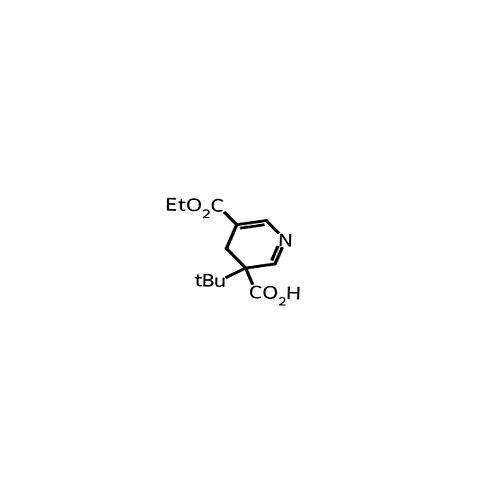 CCOC(=O)C1=CN=CC(C(=O)O)(C(C)(C)C)C1